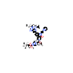 CC(C)n1cnc2cc(-c3ccc4c(c3)N([C@H]3C[C@@H](N5CCCCC5)C3)C(=O)C43CCN(C(=O)C(C)(C)N4CCN(C(=O)OC(C)(C)C)CC4)CC3)nc(NC3CC3)c21